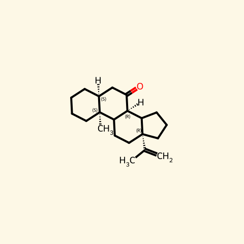 C=C(C)[C@@]12CCCC1[C@@H]1C(=O)C[C@@H]3CCCC[C@]3(C)C1CC2